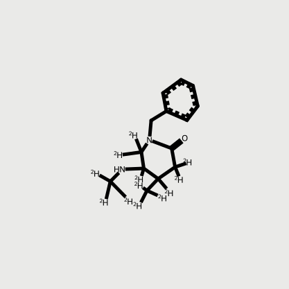 [2H]C([2H])([2H])NC1([2H])C([2H])([2H])N(Cc2ccccc2)C(=O)C([2H])([2H])C1([2H])C([2H])([2H])[2H]